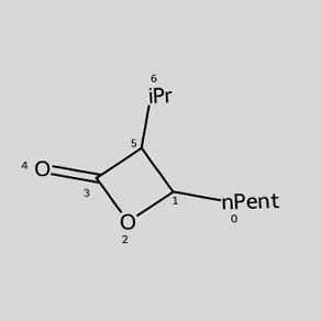 CCCCCC1OC(=O)C1C(C)C